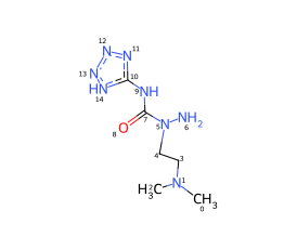 CN(C)CCN(N)C(=O)Nc1nnn[nH]1